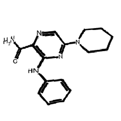 NC(=O)c1ncc(N2CCCCC2)nc1Nc1ccccc1